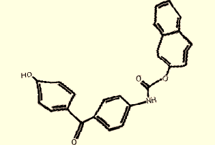 O=C(Nc1ccc(C(=O)c2ccc(O)cc2)cc1)Oc1ccc2ccccc2c1